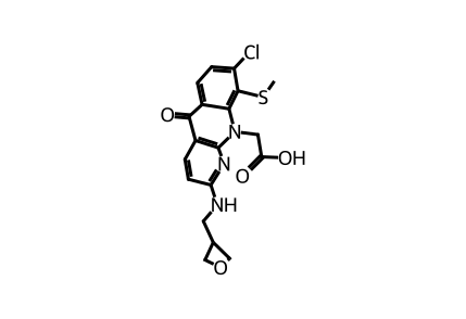 CSc1c(Cl)ccc2c(=O)c3ccc(NCC4COC4)nc3n(CC(=O)O)c12